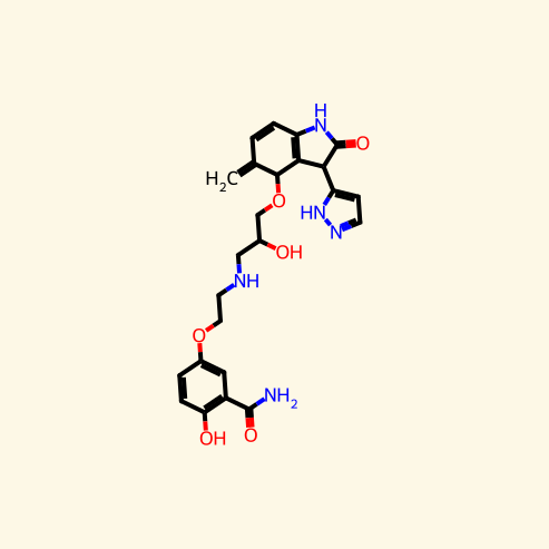 C=C1C=CC2=C(C1OCC(O)CNCCOc1ccc(O)c(C(N)=O)c1)C(c1ccn[nH]1)C(=O)N2